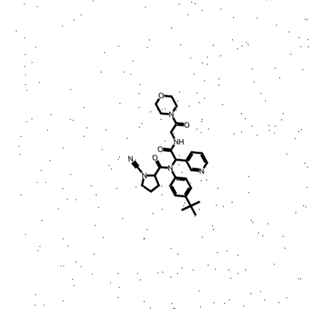 CC(C)(C)c1ccc(N(C(=O)C2CCCN2C#N)C(C(=O)NCC(=O)N2CCOCC2)c2cccnc2)cc1